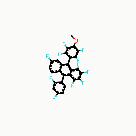 COc1c(F)c(F)c(-c2c3cc(F)ccc3c(-c3ccc(F)cc3F)c3c(F)c(F)c(F)c(F)c23)c(F)c1F